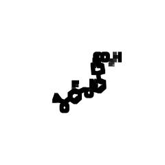 O=C(c1ccc(COc2cccc(C3CCN(C(=O)O)CC3)n2)c(F)c1)C1CC1